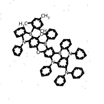 Cc1cc(C)c(B2c3ccccc3N(c3ccccc3)c3cc4c5c(c32)Oc2ccccc2B5c2cc3c(cc2O4)N(c2ccccc2)c2cc(N(c4ccccc4)c4ccccc4)cc4c2B3c2ccccc2N4c2ccccc2)c(C)c1